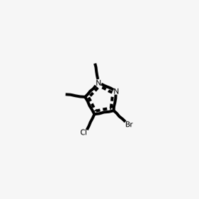 Cc1c(Cl)c(Br)nn1C